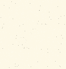 CNCC1CCc2cc(C(=O)OC)ccc2C1c1ccccc1.Cl